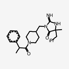 CC(C)CC1(C)NC(=N)N(CC2CCN(C(=O)C(C)c3ccccc3)CC2)C1=O